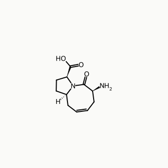 N[C@H]1C/C=C\C[C@H]2CC[C@@H](C(=O)O)N2C1=O